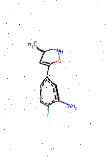 CC1C=C(c2ccc(F)c(N)c2)ON1